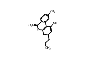 C=C1OC2=C(C(O)=CC(CCC)C2)c2cc(C)ccc21